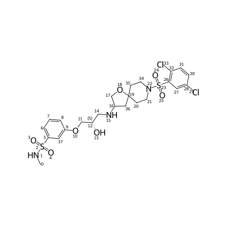 CNS(=O)(=O)c1cccc(OC[C@@H](O)CNC2COC3(CCN(S(=O)(=O)c4cc(Cl)ccc4Cl)CC3)C2)c1